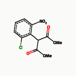 COC(=O)C(C(=O)OC)c1c(Cl)cccc1[N+](=O)[O-]